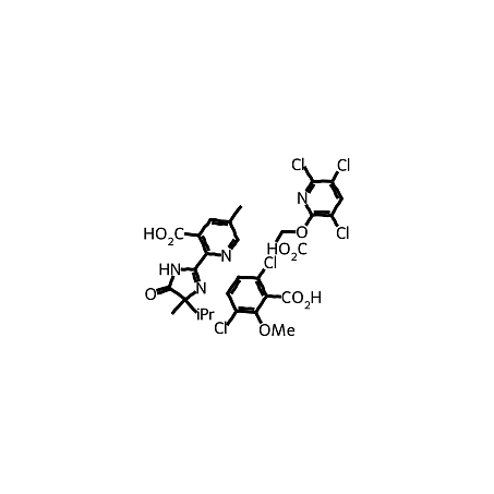 COc1c(Cl)ccc(Cl)c1C(=O)O.Cc1cnc(C2=NC(C)(C(C)C)C(=O)N2)c(C(=O)O)c1.O=C(O)COc1nc(Cl)c(Cl)cc1Cl